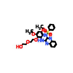 COc1cc(Nc2nc3ccccc3nc2NS(=O)(=O)c2ccccc2)c(OCCOCCO)c(OC)c1